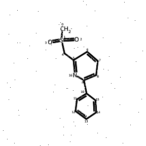 [CH2]S(=O)(=O)Cc1cccc(-c2ccccc2)n1